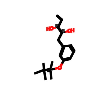 CC[C@@H](O)[C@H](O)Cc1cccc(O[Si](C)(C)C(C)(C)C)c1